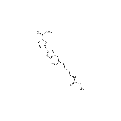 COC(=O)[C@H]1CSC(c2nc3ccc(OCCCNC(=O)OC(C)(C)C)cc3s2)=N1